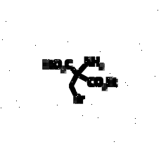 CCOC(=O)C(N)(CBr)C(=O)OCC